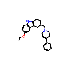 CCOc1ccc2[nH]c3c(c2c1)CC(CN1CC=C(c2ccccc2)CC1)CC3